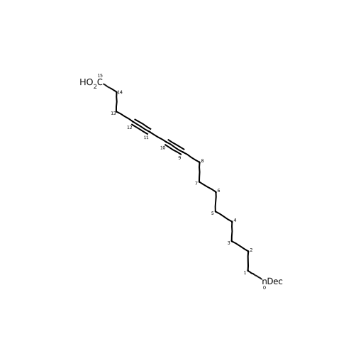 CCCCCCCCCCCCCCCCCCC#CC#CCCC(=O)O